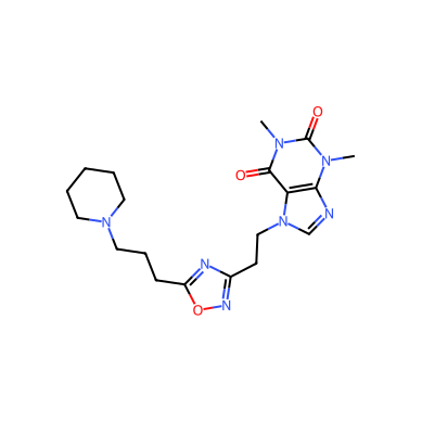 Cn1c(=O)c2c(ncn2CCc2noc(CCCN3CCCCC3)n2)n(C)c1=O